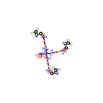 CN1Cc2c(Cl)cc(Cl)cc2[C@H](c2cccc(S(=O)(=O)NCCOCCOCCNC(=O)CCC(CCC(=O)NCCOCCOCCNS(=O)(=O)c3cccc([C@@H]4CN(C)Cc5c(Cl)cc(Cl)cc54)c3)(CCC(=O)NCCOCCOCCNS(=O)(=O)c3cccc([C@@H]4CN(C)Cc5c(Cl)cc(Cl)cc54)c3)NC(=O)NC(CO)CO)c2)C1